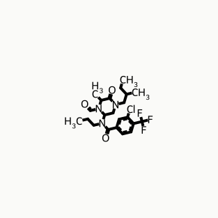 CCCN(C(=O)c1ccc(C(F)(F)F)c(Cl)c1)C1CN(CC(C)CC)C(=O)C(C)N1C=O